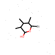 CCC1OC(O)C(C)C(C)C1C